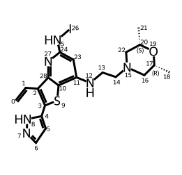 C=Cc1c(-c2ccn[nH]2)sc2c(NCCN3C[C@@H](C)O[C@@H](C)C3)cc(NI)nc12